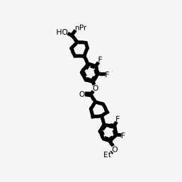 CCCC(O)C1CCC(c2ccc(OC(=O)C3CCC(c4ccc(OCC)c(F)c4F)CC3)c(F)c2F)CC1